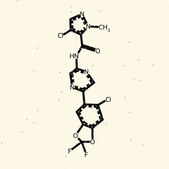 Cn1ncc(Cl)c1C(=O)Nc1cnc(-c2cc3c(cc2Cl)OC(F)(F)O3)cn1